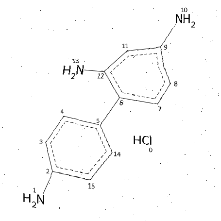 Cl.Nc1ccc(-c2ccc(N)cc2N)cc1